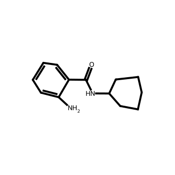 Nc1ccccc1C(=O)NC1CCCCC1